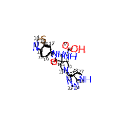 O=C(O)NCC1(C(=O)Nc2ccc3ncsc3c2)CCN(c2ncnc3[nH]ccc23)CC1